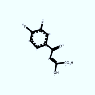 O=C(O)/C(O)=C\C(=O)c1ccc(F)c(F)c1